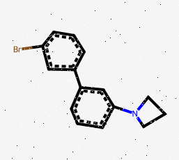 Brc1cccc(-c2cccc(N3CCC3)c2)c1